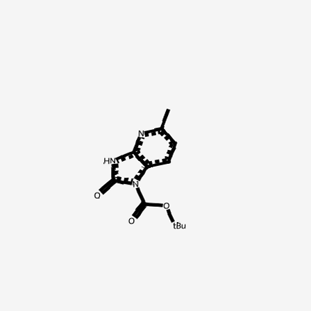 Cc1ccc2c(n1)[nH]c(=O)n2C(=O)OC(C)(C)C